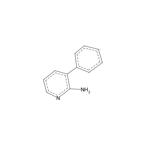 Nc1ncccc1-c1cc[c]cc1